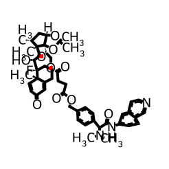 C[C@@H]1C[C@H]2OC(C)(C)O[C@@]2(C(=O)COC(=O)CCC(=O)OCc2ccc(C(C(=O)Nc3ccc4cnccc4c3)N(C)C)cc2)[C@@]1(C)C[C@H](O)[C@@]1(F)CCCC2=CC(=O)C=C[C@@]21C